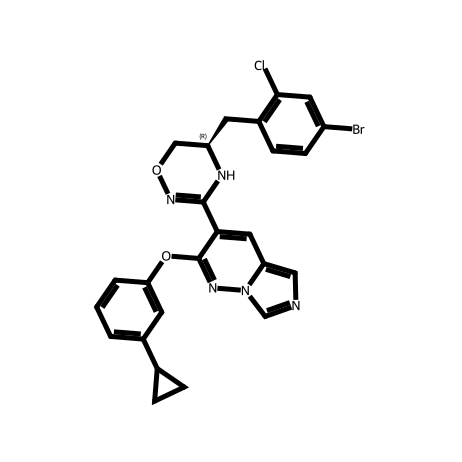 Clc1cc(Br)ccc1C[C@@H]1CON=C(c2cc3cncn3nc2Oc2cccc(C3CC3)c2)N1